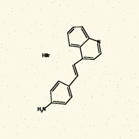 Br.Nc1ccc(C=Cc2ccnc3ccccc23)cc1